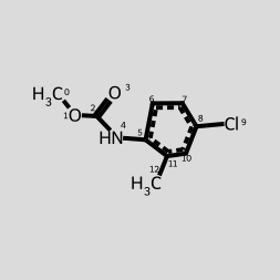 COC(=O)Nc1ccc(Cl)cc1C